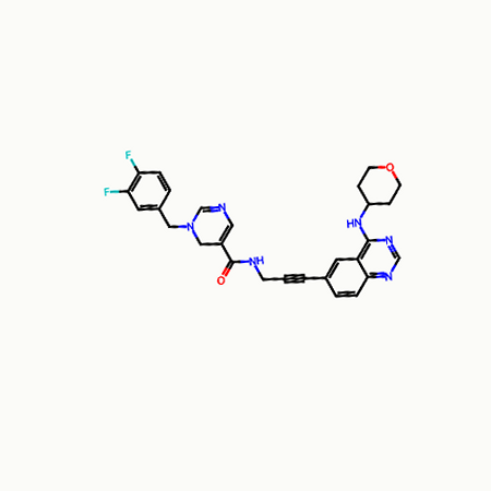 O=C(NCC#Cc1ccc2ncnc(NC3CCOCC3)c2c1)C1=CN=CN(Cc2ccc(F)c(F)c2)C1